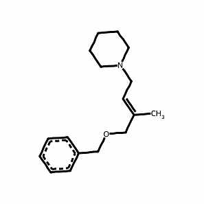 C/C(=C\CN1CCCCC1)COCc1ccccc1